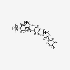 Fc1ccc(N2CCN(Cc3ccc(Nc4ccnc5cc(C(F)(F)F)ccc45)cc3)CC2)cc1